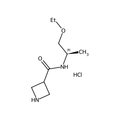 CCOC[C@@H](C)NC(=O)C1CNC1.Cl